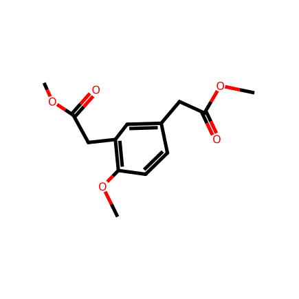 COC(=O)Cc1ccc(OC)c(CC(=O)OC)c1